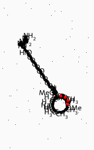 CO[C@H]1C[C@@H]2CC[C@@H](C)[C@@](O)(O2)C(=O)C(=O)N2CCCC[C@H]2C(=O)O[C@H]([C@H](N)C[C@@H]2CC[C@H](n3cc(COCCOCCOCCOCCC(=O)OCCOCCOCCOCCOCCC(=O)NCCCCn4nc(-c5ccc6oc(N)nc6c5)c5c(N)ncnc54)nn3)[C@H](OC)C2)CC(=O)[C@H](C)/C=C(\C)[C@@H](O)[C@@H](O)C(=O)[C@H](C)C[C@H](C)/C=C/C=C/C=C/1C